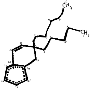 CCCCCC1(CCCCC)C=Cc2ccccc2C1